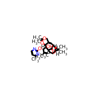 CC1=C[C@]23C(=O)[C@@H](C=C4COC(C)(C)O[C@H]4[C@]2(O)[C@H]1Oc1nccc(C(F)(F)F)n1)[C@H]1[C@@H](C[C@H]3C)C1(C)C